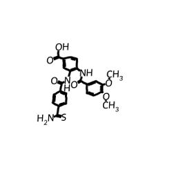 COc1ccc(C(=O)Nc2ccc(C(=O)O)cc2NC(=O)c2ccc(C(N)=S)cc2)cc1OC